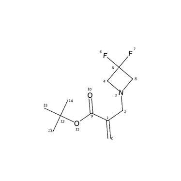 C=C(CN1CC(F)(F)C1)C(=O)OC(C)(C)C